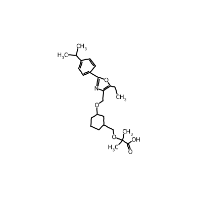 CCc1oc(-c2ccc(C(C)C)cc2)nc1COC1CCCC(COC(C)(C)C(=O)O)C1